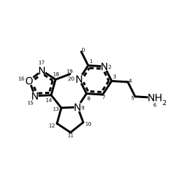 Cc1nc(CCN)cc(N2CCCC2c2nonc2C)n1